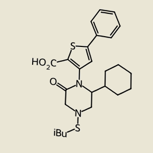 CCC(C)SN1CC(=O)N(c2cc(-c3ccccc3)sc2C(=O)O)C(C2CCCCC2)C1